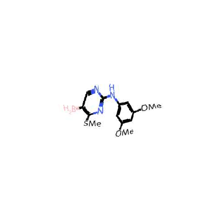 Bc1cnc(Nc2cc(OC)cc(OC)c2)nc1SC